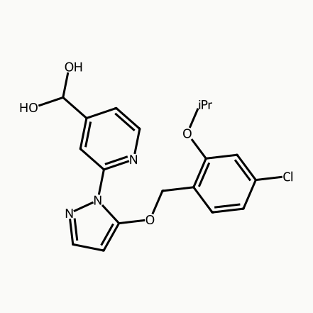 CC(C)Oc1cc(Cl)ccc1COc1ccnn1-c1cc(C(O)O)ccn1